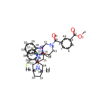 COC(=O)c1cccc(C(=O)N2CCC(CCN3[C@@H]4CC[C@H]3C[C@@H](n3c(C)nc5ccccc53)C4)(c3cccc(F)c3)CC2)c1